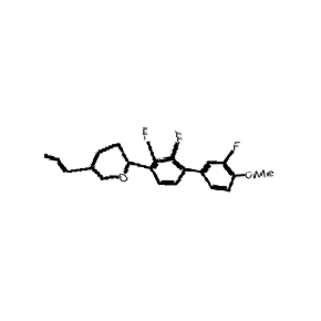 C/C=C/C1CCC(c2ccc(-c3ccc(OC)c(F)c3)c(F)c2F)OC1